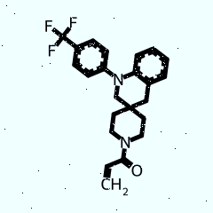 C=CC(=O)N1CCC2(CC1)Cc1ccccc1N(c1ccc(C(F)(F)F)cc1)C2